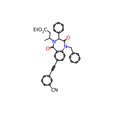 CCOC(=O)CC(C)N1C(=O)c2cc(C#Cc3cccc(C#N)c3)ccc2N(Cc2ccccc2)C(=O)C1c1ccccc1